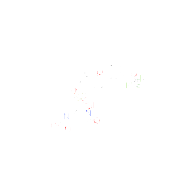 CN1C(=O)OC[C@@H]1C(CS(=O)(=O)c1ccc(Oc2ccc(OC(F)(F)F)cc2)cc1)N(O)C=O